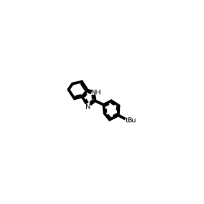 CC(C)(C)c1ccc(-c2nc3c([nH]2)=CCCC=3)cc1